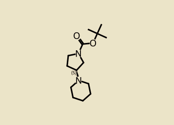 CC(C)(C)OC(=O)N1CC[C@H](N2CCCCC2)C1